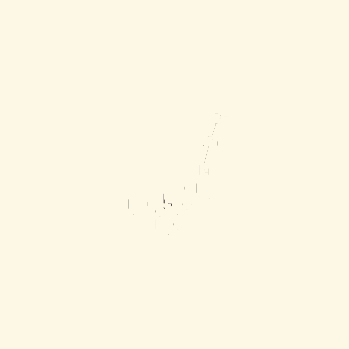 O.O.O.O.O.[Br][Zn][Br]